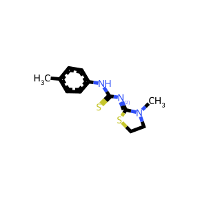 Cc1ccc(NC(=S)/N=C2\SCCN2C)cc1